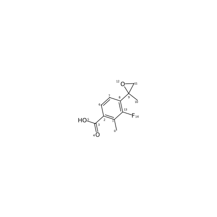 Cc1c(C(=O)O)ccc(C2(C)CO2)c1F